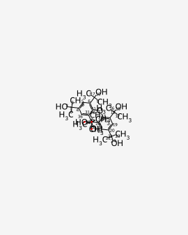 CC(C)(O)c1cc(C(C)(C)O)c(Oc2c(C(C)(C)O)cc(C(C)(C)O)cc2C(C)(C)O)c(C(C)(C)O)c1